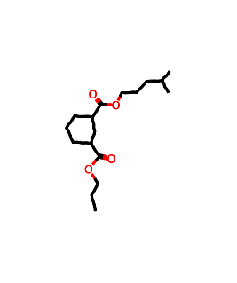 CCCOC(=O)C1CCCC(C(=O)OCCCC(C)C)C1